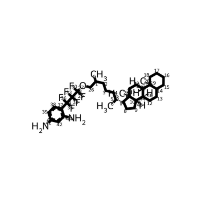 CC(CCCC(C)[C@H]1CC[C@H]2[C@@H]3CCC4CCCC[C@]4(C)[C@H]3CC[C@]12C)COC(F)(F)C(F)(F)C(F)(F)c1ccc(N)cc1N